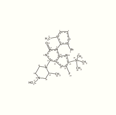 Cc1cccc(C(C)C)c1-n1c(=O)nc(N2CCN(C(=O)O)CC2C)c2cc(F)[c]([Sn]([CH3])([CH3])[CH3])nc21